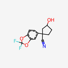 N#CC1(c2ccc3c(c2)OC(F)(F)O3)CCC(O)C1